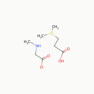 CNCC(=O)[O-].C[S+](C)CCC(=O)O